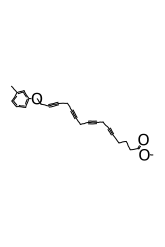 COC(=O)CCCC#CCC#CCC#CCC#CCOc1cccc(C)c1